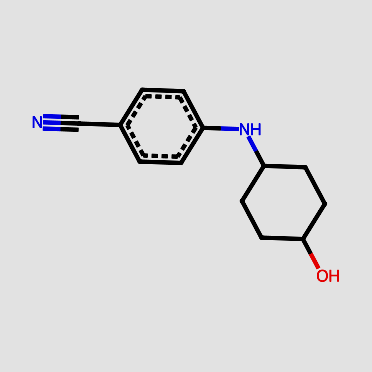 N#Cc1ccc(NC2CCC(O)CC2)cc1